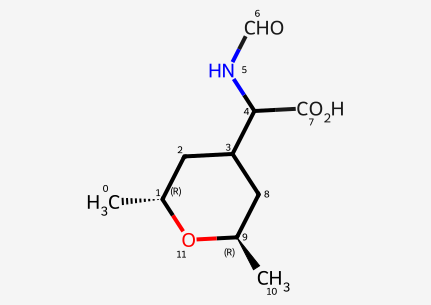 C[C@@H]1CC(C(NC=O)C(=O)O)C[C@@H](C)O1